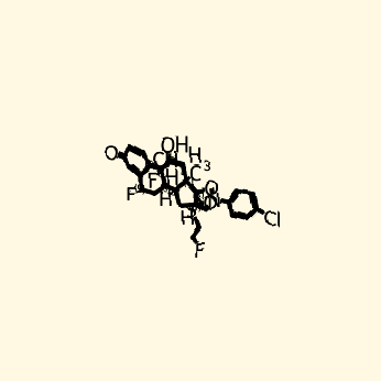 C[C@]12C=CC(=O)C=C1[C@@H](F)C[C@H]1[C@@H]3C[C@H]4CN(c5ccc(Cl)cc5)O[C@@]4(C(=O)SCCF)[C@@]3(C)C[C@H](O)[C@@]12F